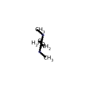 CCCCCCCC/C=C\CCCCCCC(CCC(CCCCCC/C=C\CCCCCCCC)C(N)=O)C(N)=O